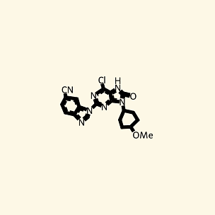 COC1CCC(n2c(=O)[nH]c3c(Cl)nc(-n4cnc5ccc(C#N)cc54)nc32)CC1